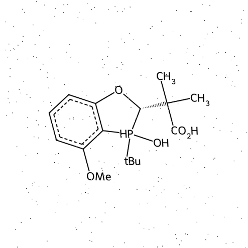 COc1cccc2c1[PH](O)(C(C)(C)C)[C@@H](C(C)(C)C(=O)O)O2